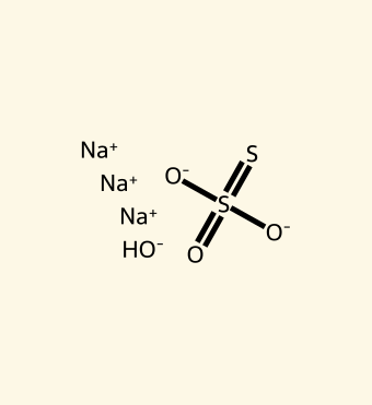 O=S([O-])([O-])=S.[Na+].[Na+].[Na+].[OH-]